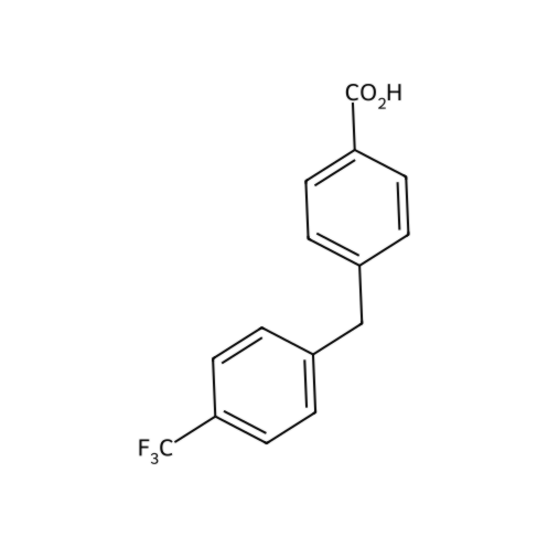 O=C(O)c1ccc(Cc2ccc(C(F)(F)F)cc2)cc1